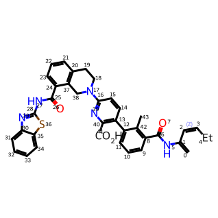 C=C(/C=C\CC)NC(=O)c1cccc(-c2ccc(N3CCc4cccc(C(=O)Nc5nc6ccccc6s5)c4C3)nc2C(=O)O)c1C